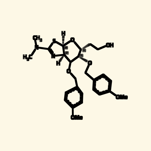 COc1ccc(COC2[C@H]3N=C(N(C)C)S[C@H]3O[C@H](CCO)[C@@H]2OCc2ccc(OC)cc2)cc1